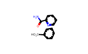 NC(=O)c1ccccn1.O=C(O)c1ccccc1